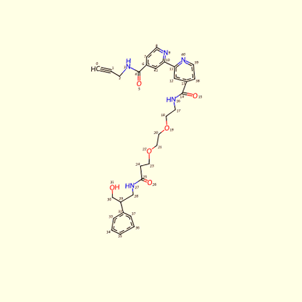 C#CCNC(=O)c1ccnc(-c2cc(C(=O)NCCOCCOCCC(=O)NCC(CO)c3ccccc3)ccn2)c1